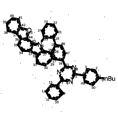 CCCCc1ccc(-c2nc(-c3ccccc3)nc(-c3ccc(-c4ccccc4-n4c5ccccc5c5ccc6c7ccccc7oc6c54)cc3)n2)cc1